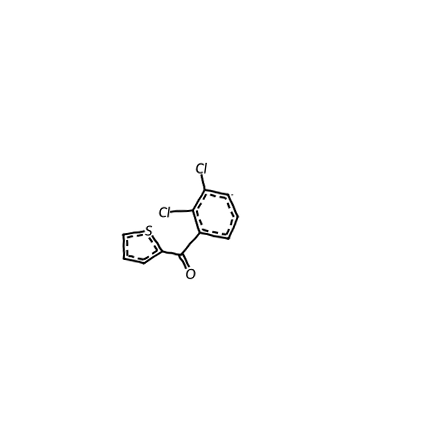 O=C(c1cccs1)c1cc[c]c(Cl)c1Cl